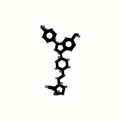 Cc1ccc2c(c1)[C@H](c1ccc(F)cc1)C[C@H]2N1CCN(CCN2CCNC2=O)CC1